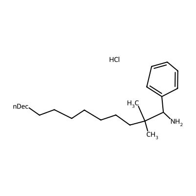 CCCCCCCCCCCCCCCCCC(C)(C)C(N)c1ccccc1.Cl